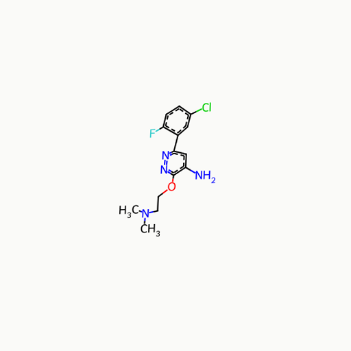 CN(C)CCOc1nnc(-c2cc(Cl)ccc2F)cc1N